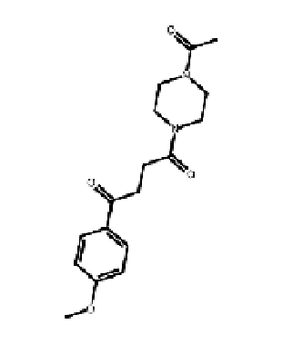 COc1ccc(C(=O)CCC(=O)N2CCN(C(C)=O)CC2)cc1